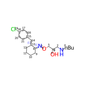 CCCCNC[C@H](O)CO/N=C1\CCCC\C1=C/c1ccc(Cl)cc1